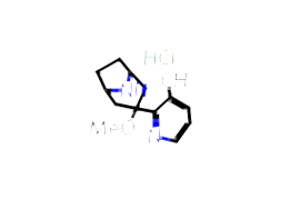 COC1(c2ncccc2C)CC2CCC(C1)N2.Cl